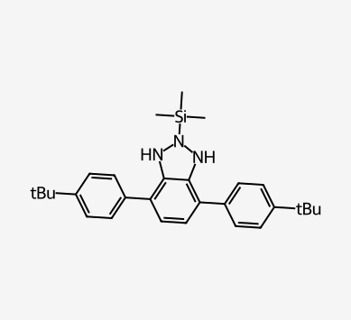 CC(C)(C)c1ccc(-c2ccc(-c3ccc(C(C)(C)C)cc3)c3c2NN([Si](C)(C)C)N3)cc1